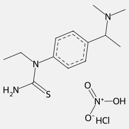 CCN(C(N)=S)c1ccc(C(C)N(C)C)cc1.Cl.O=[N+]([O-])O